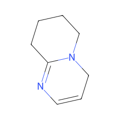 C1=CN=C2CCCCN2C1